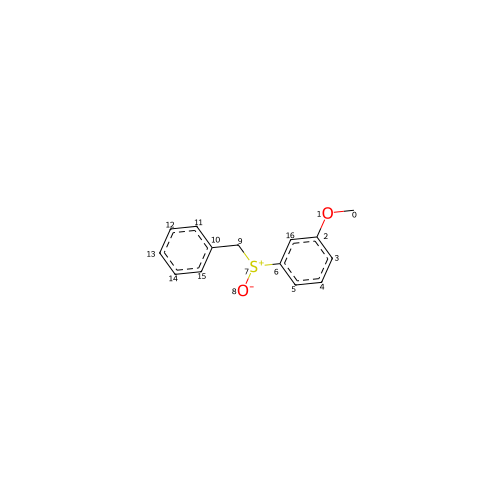 COc1cccc([S+]([O-])Cc2ccccc2)c1